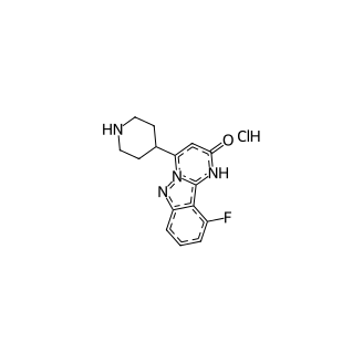 Cl.O=c1cc(C2CCNCC2)n2nc3cccc(F)c3c2[nH]1